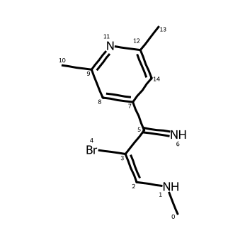 CN/C=C(/Br)C(=N)c1cc(C)nc(C)c1